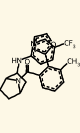 Cc1cccc(C(=O)N2C3CCC2C(Nc2ccc(C(F)(F)F)cn2)C3)c1-c1ncco1